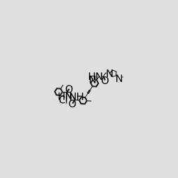 Cc1ccc(C(=O)NNC(=O)c2c(C)cccc2Cl)cc1C#Cc1ccc(NC(=O)CN2CCC(N(C)C)C2)nc1